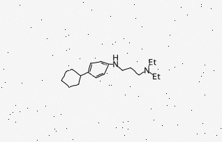 CCN(CC)CCCNc1ccc(C2CCCCC2)cc1